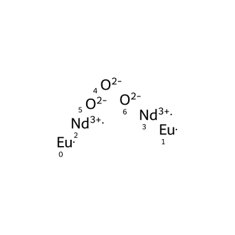 [Eu].[Eu].[Nd+3].[Nd+3].[O-2].[O-2].[O-2]